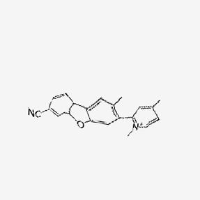 Cc1cc[n+](C)c(-c2cc3c(cc2C)C2C=CC(C#N)=CC2O3)c1